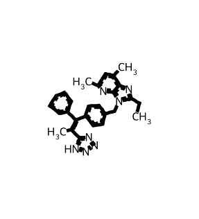 CCc1nc2c(C)cc(C)nc2n1Cc1ccc(C(=C(C)c2nnn[nH]2)c2ccccc2)cc1